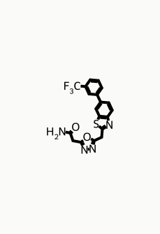 NC(=O)Cc1nnc(Cc2nc3ccc(-c4cccc(C(F)(F)F)c4)cc3s2)o1